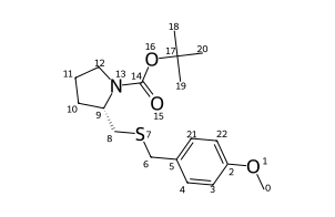 COc1ccc(CSC[C@@H]2CCCN2C(=O)OC(C)(C)C)cc1